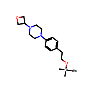 CC(C)(C)[Si](C)(C)OCCc1ccc(N2CCN(C3COC3)CC2)cc1